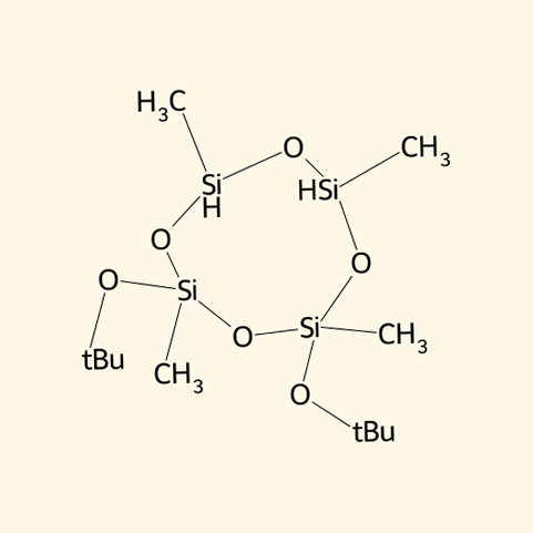 C[SiH]1O[SiH](C)O[Si](C)(OC(C)(C)C)O[Si](C)(OC(C)(C)C)O1